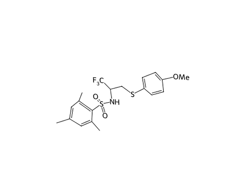 COc1ccc(SCC(NS(=O)(=O)c2c(C)cc(C)cc2C)C(F)(F)F)cc1